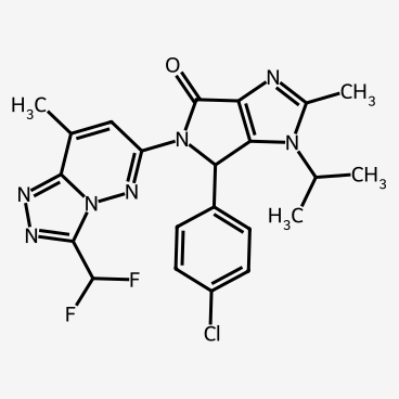 Cc1cc(N2C(=O)c3nc(C)n(C(C)C)c3C2c2ccc(Cl)cc2)nn2c(C(F)F)nnc12